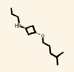 CCCN[C@H]1C[C@H](OCCCC(C)C)C1